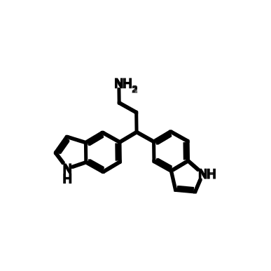 NCCC(c1ccc2[nH]ccc2c1)c1ccc2[nH]ccc2c1